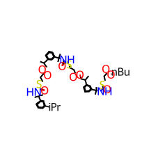 CCCCOC(=O)CCSC(=O)NC(C)(C)c1cccc(C(C)COC(=O)CCSC(=O)NC(C)(C)c2cccc(C(C)COC(=O)CCSC(=O)NC(C)(C)c3cccc(C(C)C)c3)c2)c1